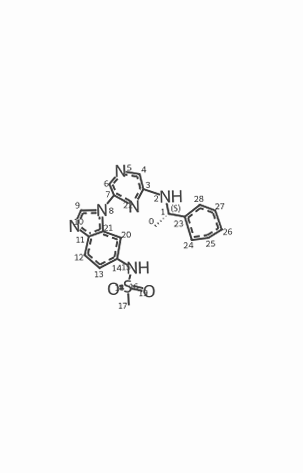 C[C@H](Nc1cncc(-n2cnc3ccc(NS(C)(=O)=O)cc32)n1)c1ccccc1